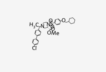 COC(=O)[C@@H]1CN([C@H](C)c2ccc(-c3ccc(Cl)cc3)cc2)CCN1S(=O)(=O)c1ccc(OCC2CCCCC2)cc1